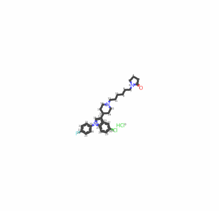 Cl.O=C1CCCN1CCCCCCN1CCC(c2cn(-c3ccc(F)cc3)c3ccc(Cl)cc23)CC1